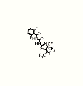 O=C(NC(=O)c1c(F)cccc1F)NC1=NC(C(F)(F)F)(C(F)(F)F)/C(=C(\F)C(F)(F)F)S1